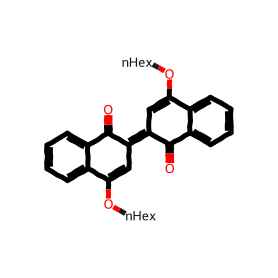 CCCCCCOC1=CC(=C2C=C(OCCCCCC)c3ccccc3C2=O)C(=O)c2ccccc21